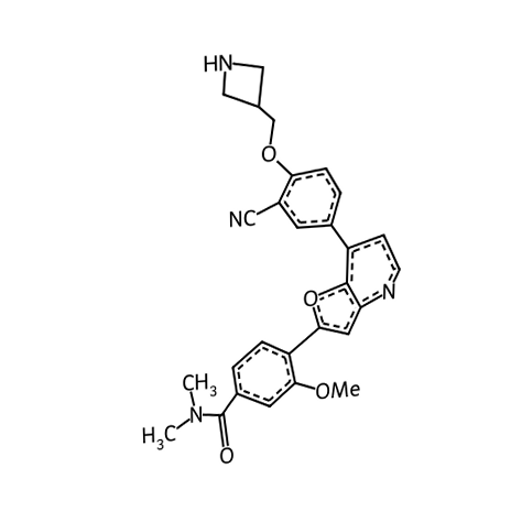 COc1cc(C(=O)N(C)C)ccc1-c1cc2nccc(-c3ccc(OCC4CNC4)c(C#N)c3)c2o1